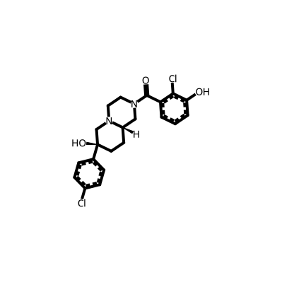 O=C(c1cccc(O)c1Cl)N1CCN2C[C@@](O)(c3ccc(Cl)cc3)CC[C@H]2C1